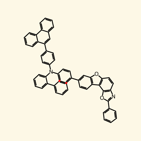 c1ccc(-c2nc3ccc4oc5cc(-c6ccc(N(c7ccc(-c8cc9ccccc9c9ccccc89)cc7)c7ccccc7-c7ccccc7)cc6)ccc5c4c3o2)cc1